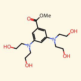 COC(=O)c1cc(N(CCO)CCO)cc(N(CCO)CCO)c1